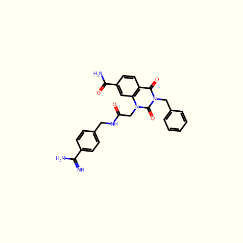 N=C(N)c1ccc(CNC(=O)Cn2c(=O)n(Cc3ccccc3)c(=O)c3ccc(C(N)=O)cc32)cc1